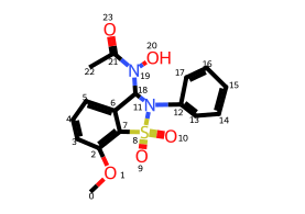 COc1cccc2c1S(=O)(=O)N(c1ccccc1)C2N(O)C(C)=O